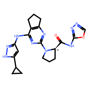 O=C(Nc1nnco1)[C@H]1CCCN1c1nc2c(c(Nc3cc(C4CC4)[nH]n3)n1)CCC2